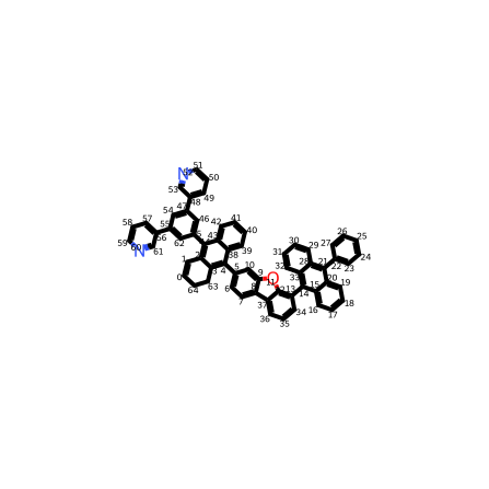 C1=Cc2c(c(-c3ccc4c(c3)oc3c(-c5c6ccccc6c(-c6ccccc6)c6ccccc56)cccc34)c3ccccc3c2-c2cc(-c3cccnc3)cc(-c3cccnc3)c2)CC1